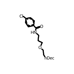 CCCCCCCCCCCCOCCCNC(=O)c1ccc(Cl)cc1